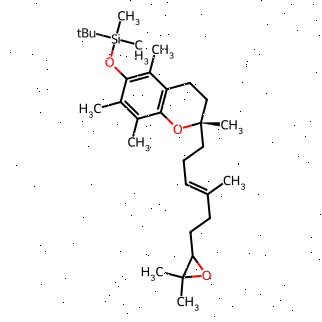 C/C(=C\CC[C@@]1(C)CCc2c(C)c(O[Si](C)(C)C(C)(C)C)c(C)c(C)c2O1)CCC1OC1(C)C